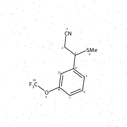 CSC(CC#N)c1cccc(OC(F)(F)F)c1